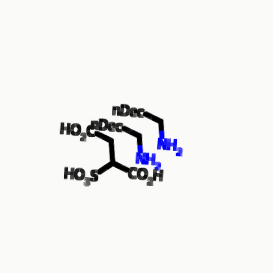 CCCCCCCCCCCN.CCCCCCCCCCCN.O=C(O)CC(C(=O)O)S(=O)(=O)O